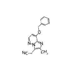 Cc1nc2c(OCc3ccccc3)ccnn2c1CC#N